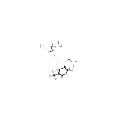 CC(C)(C)C(=O)OCCSc1c(C(F)(F)F)ccc2c1CCNCC2